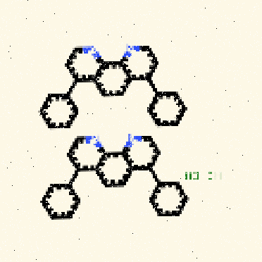 Cl.Cl.c1ccc(-c2ccnc3c2ccc2c(-c4ccccc4)ccnc23)cc1.c1ccc(-c2ccnc3c2ccc2c(-c4ccccc4)ccnc23)cc1